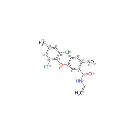 C=CNC(=O)c1cc(Oc2c(Cl)cc(C(F)(F)F)cc2Cl)ccc1[N+](=O)[O-]